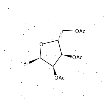 CC(=O)OC[C@H]1O[C@H](Br)[C@H](OC(C)=O)[C@@H]1OC(C)=O